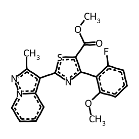 COC(=O)c1sc(-c2c(C)nn3ccccc23)nc1-c1c(F)cccc1OC